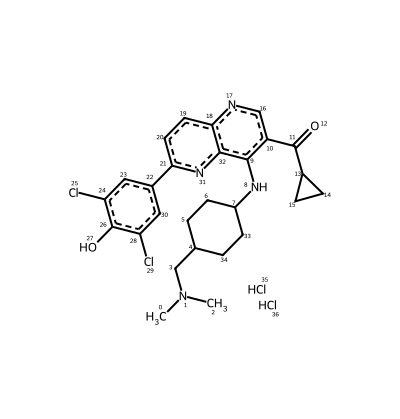 CN(C)CC1CCC(Nc2c(C(=O)C3CC3)cnc3ccc(-c4cc(Cl)c(O)c(Cl)c4)nc23)CC1.Cl.Cl